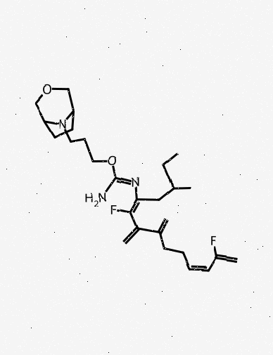 C=C(F)/C=C\CCC(=C)C(=C)/C(F)=C(CC(C)CC)/N=C(\N)OCCCN1C2CCC1COC2